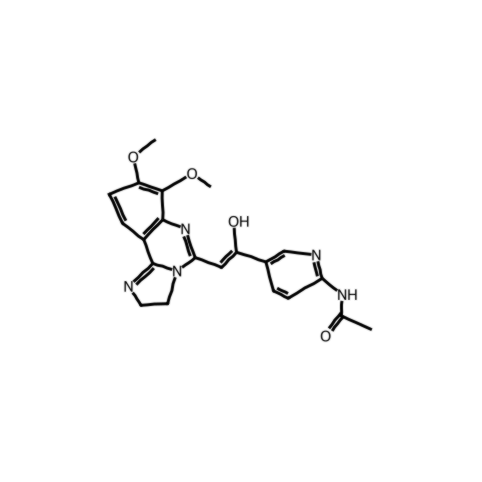 COc1ccc2c(c1OC)N=C(/C=C(\O)c1ccc(NC(C)=O)nc1)N1CCN=C21